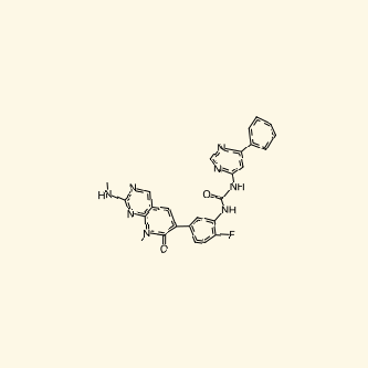 CNc1ncc2cc(-c3ccc(F)c(NC(=O)Nc4cc(-c5ccccc5)ncn4)c3)c(=O)n(C)c2n1